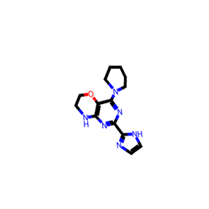 c1c[nH]c(-c2nc3c(c(N4CCCCC4)n2)OCCN3)n1